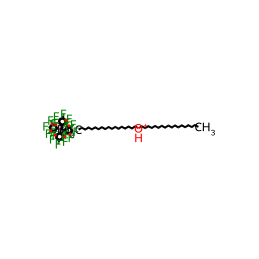 CCCCCCCCCCCCCCCCCC[OH+]CCCCCCCCCCCCCCCCCC.Fc1c(F)c(F)c([B-](c2c(F)c(F)c(F)c(F)c2F)(c2c(F)c(F)c(F)c(F)c2F)c2c(F)c(F)c(F)c(F)c2F)c(F)c1F